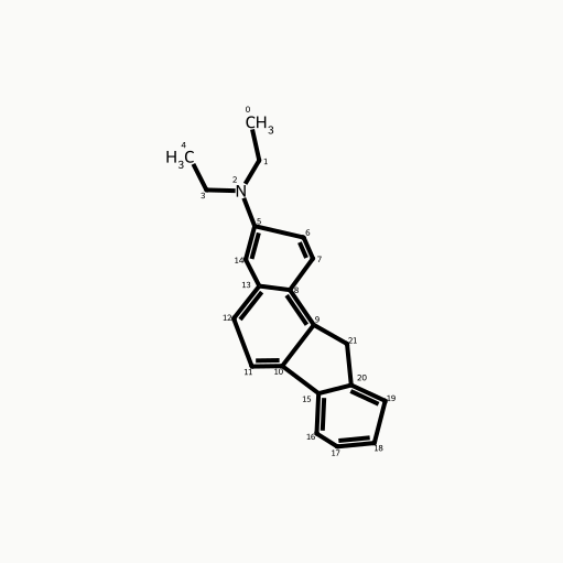 CCN(CC)c1ccc2c3c(ccc2c1)-c1ccccc1C3